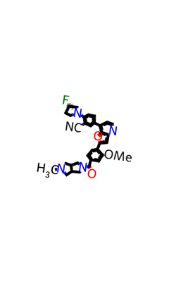 COc1cc(C(=O)N2CC3CN(C)CC3C2)ccc1-c1cc2nccc(-c3ccc(N4CC[C@@H](F)C4)c(C#N)c3)c2o1